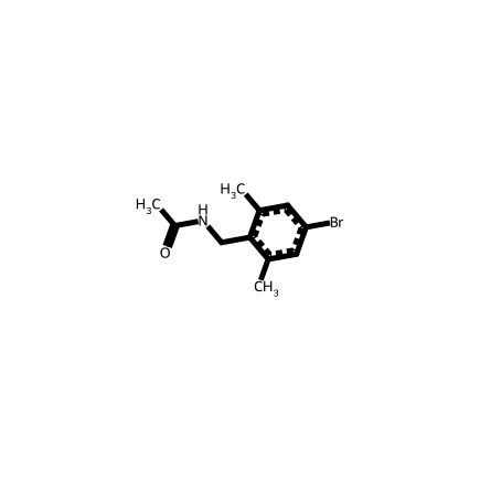 CC(=O)NCc1c(C)cc(Br)cc1C